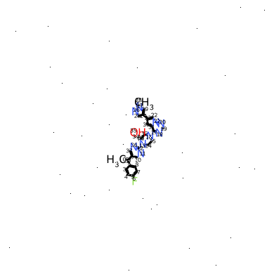 C[C@H](c1ccc(F)cc1)c1cnc(N2CCN(c3ncnn4cc(-c5cnn(C)c5)cc34)C[C@H]2CO)nc1